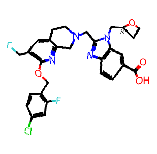 O=C(O)c1ccc2nc(CN3CCc4cc(CF)c(OCc5ccc(Cl)cc5F)nc4C3)n(C[C@@H]3CCO3)c2c1